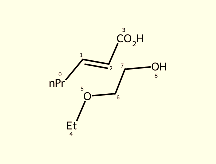 CCCC=CC(=O)O.CCOCCO